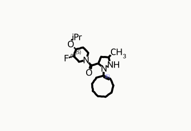 CC1CC(C(=O)N2CC[C@H](OC(C)C)[C@H](F)C2)N(/C2=C/CCCCCCC2)N1